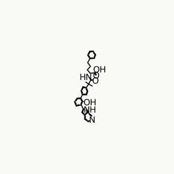 CC(C)(C(=O)NC(CCCc1ccccc1)C(=O)O)c1ccc(-c2cccc(-c3cc4ccncc4[nH]3)c2O)cc1